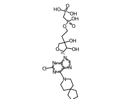 O=P(O)(O)CP(=O)(O)OCCC1(O)CO[C@@H](n2cnc3c(N4CCC5(CCCC5)CC4)nc(Cl)nc32)C1O